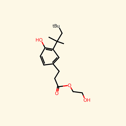 CC(C)(C)CC(C)(C)c1cc(CCC(=O)OCCO)ccc1O